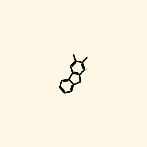 Cc1[c]c2c(cc1C)-c1ccccc1[CH]2